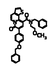 COCCN(Cc1ccccc1)C(=O)c1cc(-c2ccc(OCc3ccccc3)cc2)c(=O)n2ccc3ccsc3c12